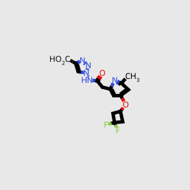 Cc1cc(OC2CC(F)(F)C2)cc(CC(=O)Nn2cc(C(=O)O)nn2)n1